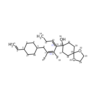 C=CC1CCC(C/C(F)=C(F)\C(=C/CC)C2(O)CCC3(CC2)OCCO3)CC1